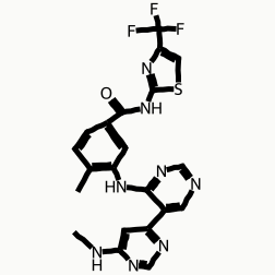 CNc1cc(-c2cncnc2Nc2cc(C(=O)Nc3nc(C(F)(F)F)cs3)ccc2C)ncn1